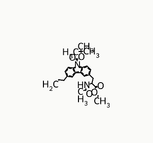 C=CCc1ccc2c(c1)c1cc(CC(NC(C)=O)C(=O)OCC)ccc1n2C(=O)OC(C)(C)C